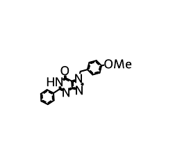 COc1ccc(Cn2cnc3nc(-c4ccccc4)[nH]c(=O)c32)cc1